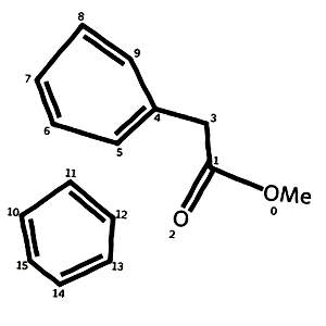 COC(=O)Cc1ccccc1.c1ccccc1